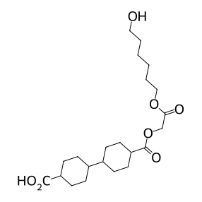 O=C(COC(=O)C1CCC(C2CCC(C(=O)O)CC2)CC1)OCCCCCCO